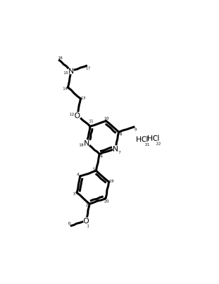 COc1ccc(-c2nc(C)cc(OCCN(C)C)n2)cc1.Cl.Cl